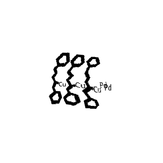 [Cu][C](=Cc1ccccc1)CC=Cc1ccccc1.[Cu][C](=Cc1ccccc1)CC=Cc1ccccc1.[Cu][C](=Cc1ccccc1)CC=Cc1ccccc1.[Pd].[Pd]